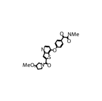 CNC(=O)C(=O)c1ccc(Oc2ccnc3cc(C(=O)N4CC[C@@H](OC)C4)sc23)cc1